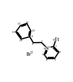 CCc1cccc[n+]1CCc1ccccc1.[Br-]